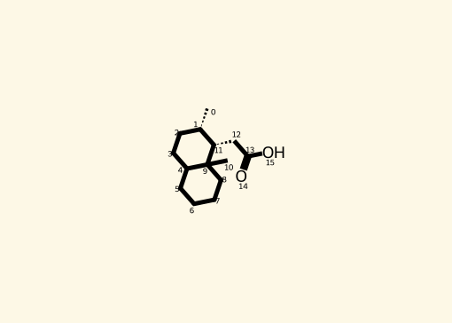 C[C@H]1CCC2CCCCC2(C)[C@H]1CC(=O)O